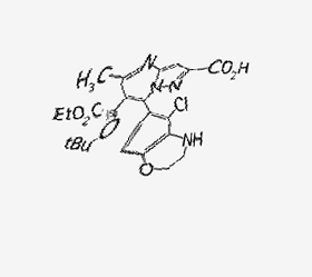 CCOC(=O)[C@@H](OC(C)(C)C)c1c(C)nc2cc(C(=O)O)nn2c1-c1ccc2c(c1Cl)NCCO2